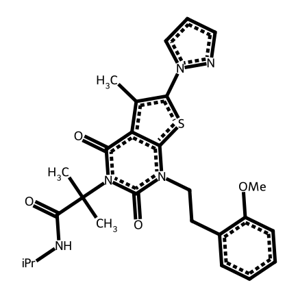 COc1ccccc1CCn1c(=O)n(C(C)(C)C(=O)NC(C)C)c(=O)c2c(C)c(-n3cccn3)sc21